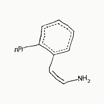 CCCc1ccccc1/C=C\N